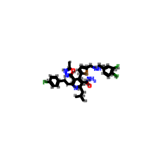 Cc1nnc(-c2c(CCc3ccc(F)cc3)nc(CC(C)C)c(C(N)=O)c2-c2ccc(CNCc3ccc(F)c(F)c3)s2)o1